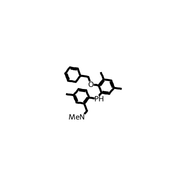 CNCc1cc(C)ccc1Pc1cc(C)cc(C)c1OCC1C=CC=CC1